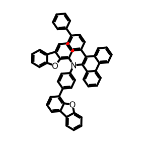 c1ccc(-c2ccc(-c3c(N(c4ccc(-c5cccc6c5oc5ccccc56)cc4)c4cccc5c4oc4ccccc45)c4ccccc4c4ccccc34)cc2)cc1